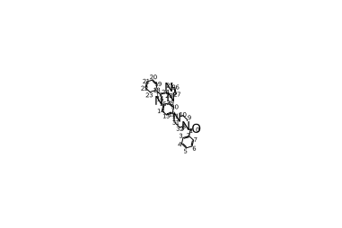 O=C(c1ccccc1)N1CCN(c2ccc3nc(C4C=CC=CC4)c4nccn4c3c2)CC1